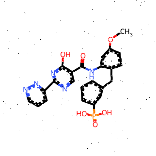 COc1ccc(Cc2cccc(P(=O)(O)O)c2)c(NC(=O)c2cnc(-c3cccnn3)nc2O)c1